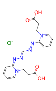 O=C(O)CCn1ccccc1=NN=CN=Nc1cccc[n+]1CCC(=O)O.[Cl-]